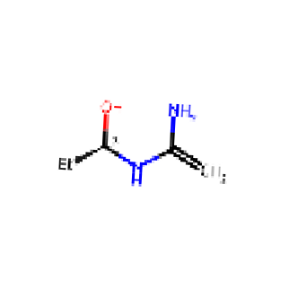 C=C(N)N[C@H](O)CC